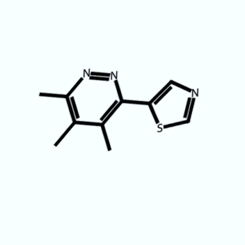 Cc1nnc(-c2cncs2)c(C)c1C